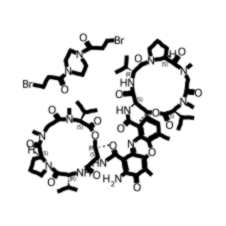 Cc1c2oc3c(C)ccc(C(=O)N[C@@H]4C(=O)N[C@H](C(C)C)C(=O)N5CCC[C@H]5C(=O)N(C)CC(=O)N(C)[C@@H](C(C)C)C(=O)O[C@@H]4C)c3nc-2c(C(=O)N[C@@H]2C(=O)N[C@H](C(C)C)C(=O)N3CCC[C@H]3C(=O)N(C)CC(=O)N(C)[C@@H](C(C)C)C(=O)O[C@@H]2C)c(N)c1=O.O=C(CCBr)N1CCN(C(=O)CCBr)CC1